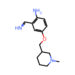 CN1CCCC(COc2ccc(N)c(C=N)c2)C1